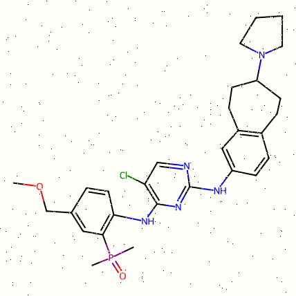 COCc1ccc(Nc2nc(Nc3ccc4c(c3)CCC(N3CCCC3)CC4)ncc2Cl)c(P(C)(C)=O)c1